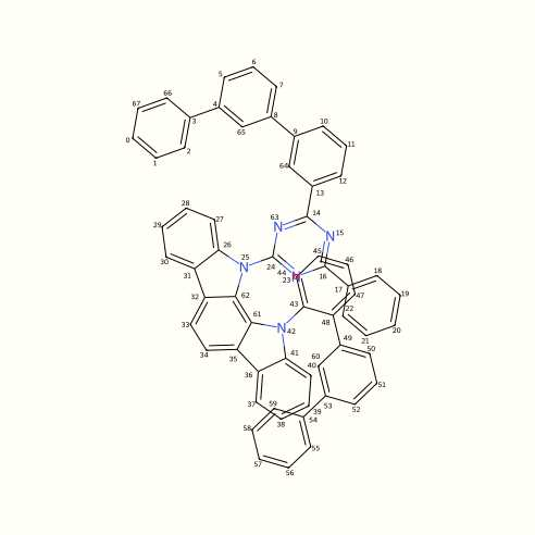 c1ccc(-c2cccc(-c3cccc(-c4nc(-c5ccccc5)nc(-n5c6ccccc6c6ccc7c8ccccc8n(-c8ccccc8-c8cccc(-c9ccccc9)c8)c7c65)n4)c3)c2)cc1